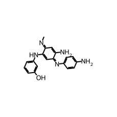 C/N=C1C=C(N)/C(=N\c2ccc(N)cc2)C=C\1Nc1cccc(O)c1